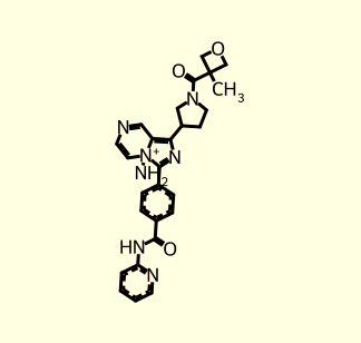 CC1(C(=O)N2CCC(C3=C4C=NC=C[N+]4(N)C(c4ccc(C(=O)Nc5ccccn5)cc4)=N3)C2)COC1